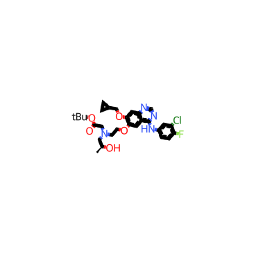 C[C@H](O)CN(CCOc1cc2c(Nc3ccc(F)c(Cl)c3)ncnc2cc1OCC1CC1)CC(=O)OC(C)(C)C